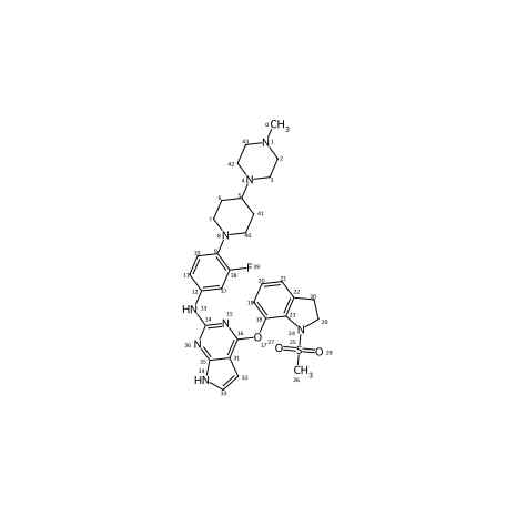 CN1CCN(C2CCN(c3ccc(Nc4nc(Oc5cccc6c5N(S(C)(=O)=O)CC6)c5cc[nH]c5n4)cc3F)CC2)CC1